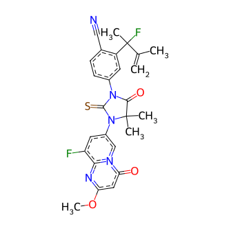 C=C(C)C(C)(F)c1cc(N2C(=O)C(C)(C)N(c3cc(F)c4nc(OC)cc(=O)n4c3)C2=S)ccc1C#N